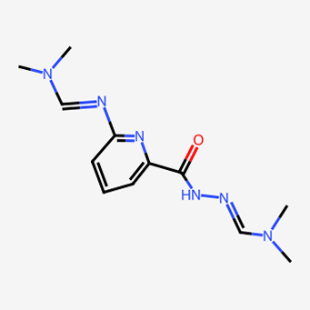 CN(C)C=NNC(=O)c1cccc(/N=C/N(C)C)n1